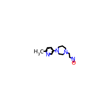 Cc1ccc(N2CCCN(CCN=O)CC2)cn1